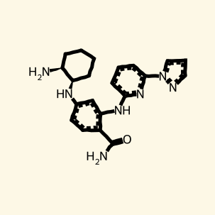 NC(=O)c1ccc(N[C@@H]2CCCC[C@@H]2N)cc1Nc1cccc(-n2cccn2)n1